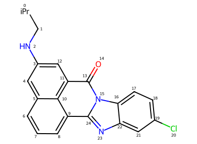 CC(C)CNc1cc2cccc3c2c(c1)c(=O)n1c2ccc(Cl)cc2nc31